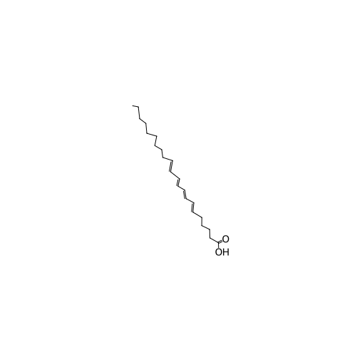 CCCCCCCCCC=CC=CC=CC=CCCCCC(=O)O